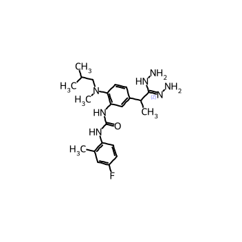 Cc1cc(F)ccc1NC(=O)Nc1cc(C(C)/C(=N/N)NN)ccc1N(C)CC(C)C